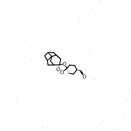 O=C[C@H]1CC[C@]2(CC1)OO[C@]1(O2)C2CC3CC4CC1CC34C2